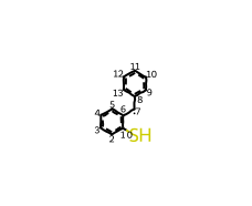 Sc1ccccc1[CH]c1ccccc1